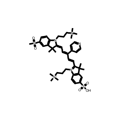 CC1(C)C(/C=C/C(=C/C=C2/N(CCC[N+](C)(C)C)c3ccc(S(C)(=O)=O)cc3C2(C)C)c2ccncc2)=[N+](CCC[N+](C)(C)C)c2ccc(S(=O)(=O)O)cc21